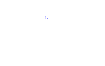 C=C/C=C\C1=C(C)C(C)C(C)N2CC=CC=C12